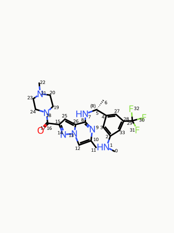 CNc1cc([C@@H](C)Nc2nc(C)cn3nc(C(=O)N4CCN(C)CC4)cc23)cc(C(F)(F)F)c1